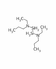 CCCN(CC)[SiH2][SiH2]N(CC)CCC